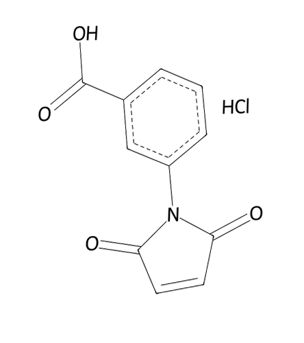 Cl.O=C(O)c1cccc(N2C(=O)C=CC2=O)c1